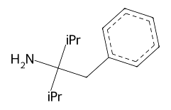 CC(C)C(N)(Cc1ccccc1)C(C)C